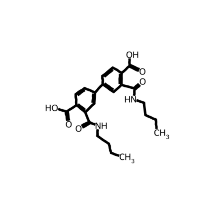 CCCCNC(=O)c1cc(-c2ccc(C(=O)O)c(C(=O)NCCCC)c2)ccc1C(=O)O